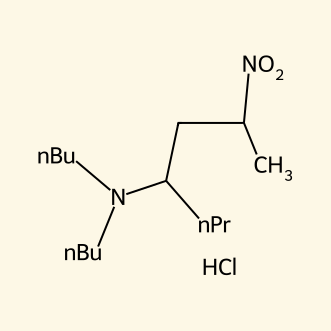 CCCCN(CCCC)C(CCC)CC(C)[N+](=O)[O-].Cl